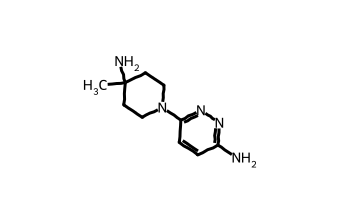 CC1(N)CCN(c2ccc(N)nn2)CC1